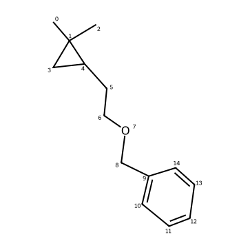 CC1(C)CC1CCOCc1ccccc1